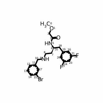 COCC(=O)N[C@H](CCNCc1cccc(Br)c1)Cc1cc(F)cc(F)c1